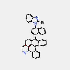 CCc1nc2ccccc2n1-c1ccc(-c2c3ccccc3c(-c3ccccc3-c3ccccn3)c3ccccc23)c2ccccc12